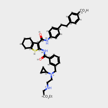 CCOC(=O)CNCCN(Cc1cccc(C(=O)Nc2sc3c(c2C(=O)Nc2ccc(CCc4ccc(C(=O)O)cc4)cc2)CCCC3)c1)C1CC1